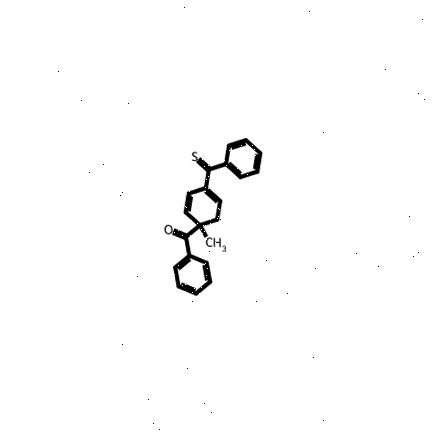 CC1(C(=O)c2ccccc2)C=CC(C(=S)c2ccccc2)=CC1